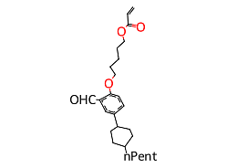 C=CC(=O)OCCCCCOc1ccc(C2CCC(CCCCC)CC2)cc1C=O